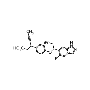 CC#CC(CC(=O)O)c1ccc(OC(CC(C)C)c2cc3[nH]ncc3cc2F)cc1